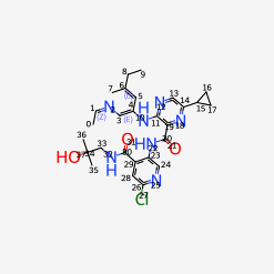 C\C=N/C=C(\C=C(/C)CC)Nc1ncc(C2CC2)nc1C(=O)Nc1cnc(Cl)cc1C(=O)NCC(C)(C)O